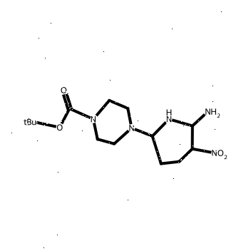 CC(C)(C)OC(=O)N1CCN(C2CCC([N+](=O)[O-])C(N)N2)CC1